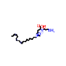 CC/C=C\C/C=C\C/C=C\CCCCCCCCn1cnc(CC(NC(=O)CCN)C(=O)O)c1